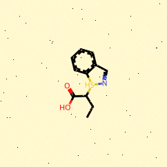 CCC(C(=O)O)[SH]1N=Cc2ccccc21